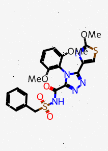 COc1nc(-c2nnc(C(=O)NS(=O)(=O)Cc3ccccc3)n2-c2c(OC)cccc2OC)cs1